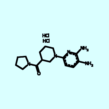 Cl.Cl.Nc1ccc(N2CCCC(C(=O)N3CCCC3)C2)nc1N